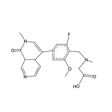 COc1cc(C2=CN(C)C(=O)C3C=NC=CC23)cc(F)c1CN(C)CC(=O)O